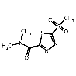 CN(C)C(=O)c1nnc(S(C)(=O)=O)s1